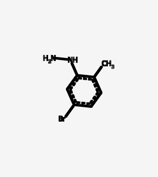 Cc1ccc(Br)cc1NN